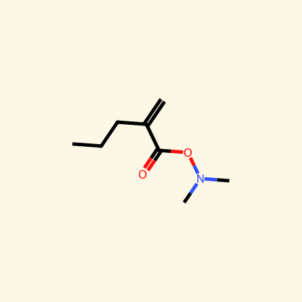 C=C(CCC)C(=O)ON(C)C